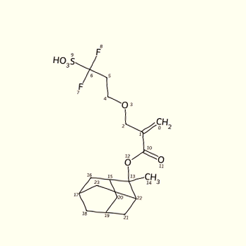 C=C(COCCC(F)(F)S(=O)(=O)O)C(=O)OC1(C)C2CC3CC(C2)CC1C3